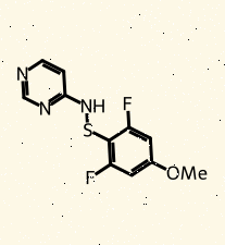 COc1cc(F)c(SNc2ccncn2)c(F)c1